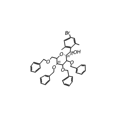 Cc1cc(Br)cc(C)c1[C@@H](O)[C@H]1OC(COCc2ccccc2)[C@@H](OCc2ccccc2)C(OCc2ccccc2)C1OCc1ccccc1